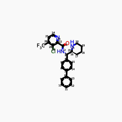 O=C(N[C@@H](c1ccc(-c2ccccc2)cc1)[C@@H]1CCCCN1)c1nccc(C(F)(F)F)c1Cl